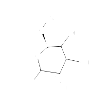 C[C@@H]1C(C=O)O[C@@H](OC(C)(C)C)C(O)C1O